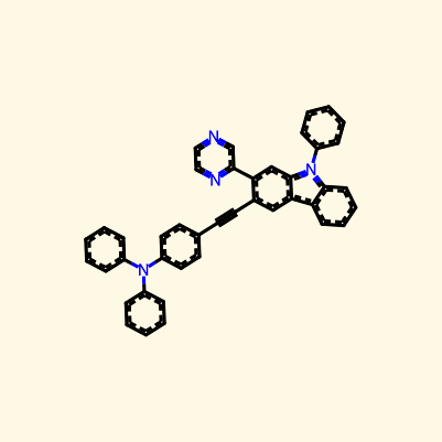 C(#Cc1cc2c3ccccc3n(-c3ccccc3)c2cc1-c1cnccn1)c1ccc(N(c2ccccc2)c2ccccc2)cc1